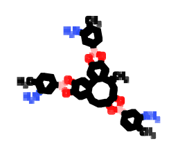 C=C1/C=C2/OB(c3ccc(C)c(N)c3)O/C2=C/Cc2cc3c(cc2-c2cc4c(cc21)OB(c1ccc(C)c(N)c1)O4)OB(c1ccc(C)c(N)c1)O3